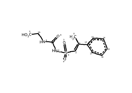 CC(=CS(=O)(=O)NC(=O)NCC(=O)O)c1ccccc1